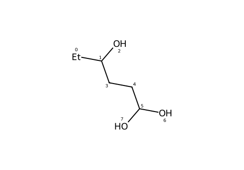 CCC(O)CCC(O)O